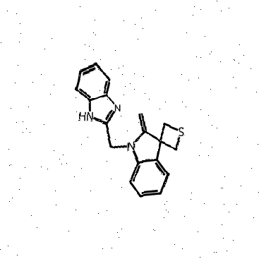 C=C1N(Cc2nc3ccccc3[nH]2)c2ccccc2C12CSC2